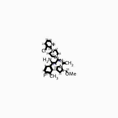 C=C(/N=C(\C=C(/N)c1ccc(F)c(C)c1)N1CCN(c2ncccc2Cl)CC1)N1CCC[C@H]1COC